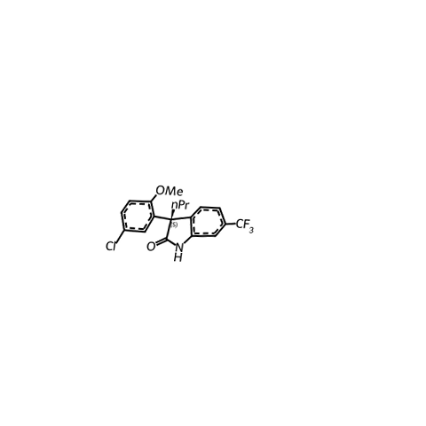 CCC[C@]1(c2cc(Cl)ccc2OC)C(=O)Nc2cc(C(F)(F)F)ccc21